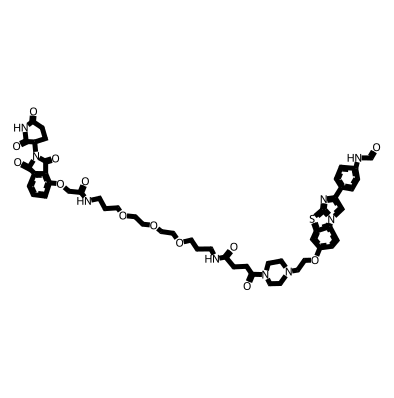 O=CNc1ccc(-c2cn3c(n2)sc2cc(OCCN4CCN(C(=O)CCC(=O)NCCCOCCOCCOCCCNC(=O)COc5cccc6c5C(=O)N(C5CCC(=O)NC5=O)C6=O)CC4)ccc23)cc1